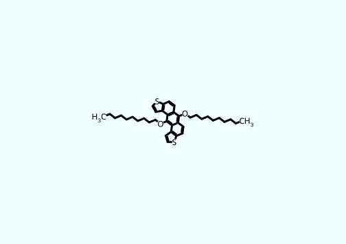 CCCCCCCCCCOc1c2ccc3sccc3c2c(OCCCCCCCCCC)c2c1ccc1sccc12